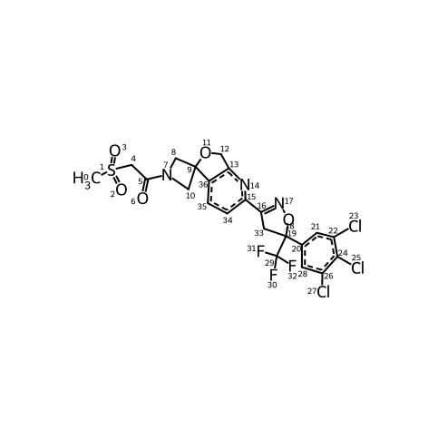 CS(=O)(=O)CC(=O)N1CC2(C1)OCc1nc(C3=NOC(c4cc(Cl)c(Cl)c(Cl)c4)(C(F)(F)F)C3)ccc12